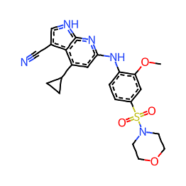 COc1cc(S(=O)(=O)N2CCOCC2)ccc1Nc1cc(C2CC2)c2c(C#N)c[nH]c2n1